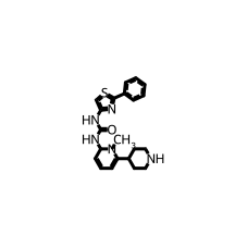 CN1C(C2CCNCC2)=CC=CC1NC(=O)Nc1csc(-c2ccccc2)n1